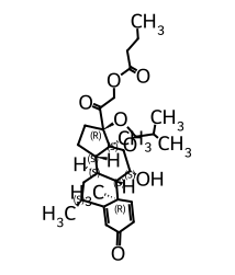 CCCC(=O)OCC(=O)[C@@]1(OC(=O)C(C)C)CC[C@H]2[C@@H]3C[C@H](C)C4=CC(=O)C=C[C@]4(C)[C@H]3[C@@H](O)C[C@@]21C